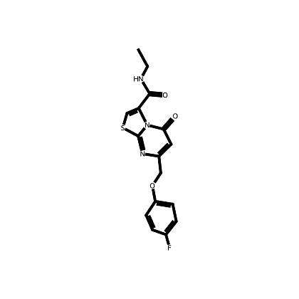 CCNC(=O)c1csc2nc(COc3ccc(F)cc3)cc(=O)n12